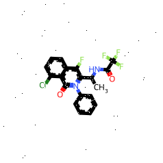 CC(NC(=O)C(F)(F)F)c1c(F)c2cccc(Cl)c2c(=O)n1-c1ccccc1